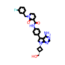 Nc1ncnc2c1c(-c1ccc(NC(=O)c3cccn(Cc4cccc(F)c4)c3=O)cc1)cn2[C@H]1C[C@@H](CO)C1